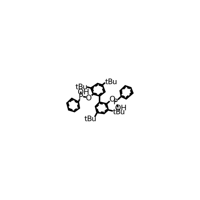 CC(C)(C)c1cc(-c2cc(C(C)(C)C)cc(C(C)(C)C)c2OP(O)c2ccccc2)c(OP(O)c2ccccc2)c(C(C)(C)C)c1